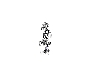 CO[C@@H]1C[C@@H](OC(=O)Nc2ccc(N3CCOCC3=O)cc2F)N(C(=O)/C=C/c2c[nH]cn2)C1